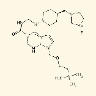 C[Si](C)(C)CCOCN1C=CC2=C3C(=CNC21)C(=O)NCN3[C@H]1CC[C@H](CN2CC[C@H](F)C2)CC1